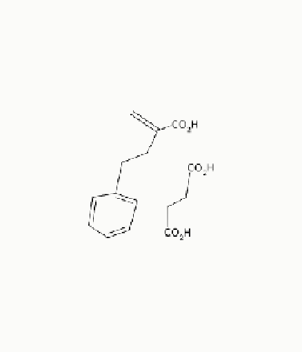 C=C(CCc1ccccc1)C(=O)O.O=C(O)CCC(=O)O